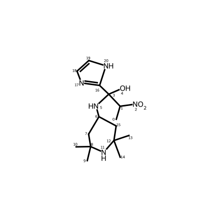 CC([N+](=O)[O-])C(O)(NC1CC(C)(C)NC(C)(C)C1)c1ncc[nH]1